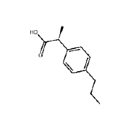 CCCc1ccc([C@H](C)C(=O)O)cc1